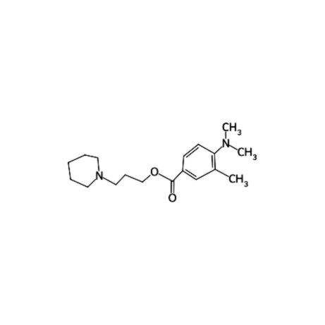 Cc1cc(C(=O)OCCCN2CCCCC2)ccc1N(C)C